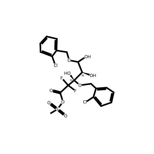 CS(=O)(=O)OC(=O)C(F)(F)[C@@](O)(OCc1ccccc1Cl)[C@H](O)C(O)OCc1ccccc1Cl